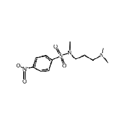 CN(C)CCCN(C)S(=O)(=O)c1ccc([N+](=O)[O-])cc1